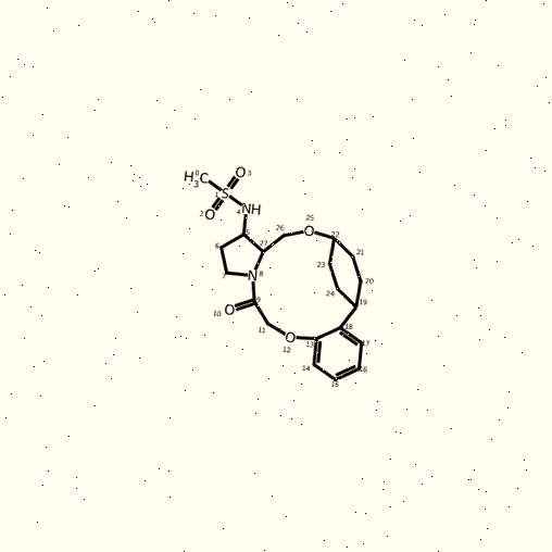 CS(=O)(=O)NC1CCN2C(=O)COc3ccccc3C3CCC(CC3)OCC12